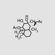 CC(=O)/C=C/[C@H]1[C@](C)(O)[C@@H](O)[C@H](OC(C)=O)[C@H]2C(C)(C)CCC[C@@]21C